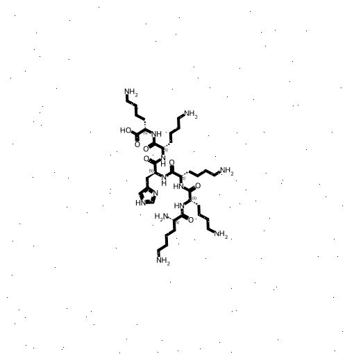 NCCCC[C@H](NC(=O)[C@H](CCCCN)NC(=O)[C@H](Cc1c[nH]cn1)NC(=O)[C@H](CCCCN)NC(=O)[C@H](CCCCN)NC(=O)[C@@H](N)CCCCN)C(=O)O